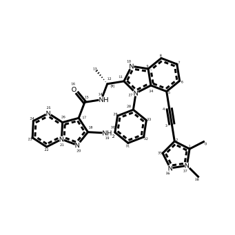 Cc1c(C#Cc2cccc3nc([C@@H](C)NC(=O)c4c(N)nn5cccnc45)n(-c4ccccc4)c23)cnn1C